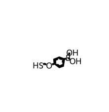 OB(O)c1ccc(OCS)cc1